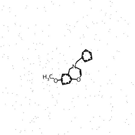 COc1ccc2c(c1)CN(Cc1ccccc1)C=CO2